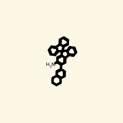 Nc1cc2c(cc1-c1ccc3c(c1)CCCC3)-c1ccccc1C21c2ccccc2-c2ccccc21